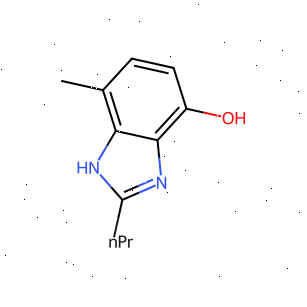 CCCc1nc2c(O)ccc(C)c2[nH]1